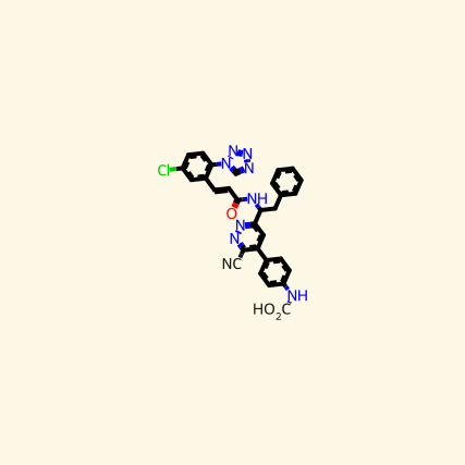 N#Cc1nnc(C(Cc2ccccc2)NC(=O)C=Cc2cc(Cl)ccc2-n2cnnn2)cc1-c1ccc(NC(=O)O)cc1